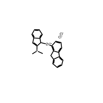 CP(C)C1=Cc2ccccc2[CH]1[Zr+2][c]1cccc2c1Cc1ccccc1-2.[Cl-].[Cl-]